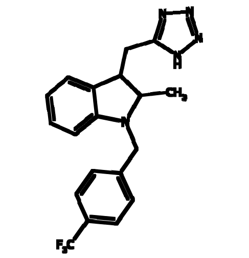 CC1C(Cc2nnn[nH]2)c2ccccc2N1Cc1ccc(C(F)(F)F)cc1